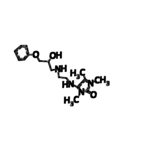 Cc1c(NCCNCC(O)COc2ccccc2)n(C)c(=O)n1C